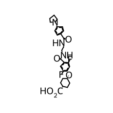 O=C(NCCNC(=O)c1cc(F)c(O[C@H]2CC[C@@H](C(=O)O)CC2)cc1F)c1ccc(N2CCCC2)cc1